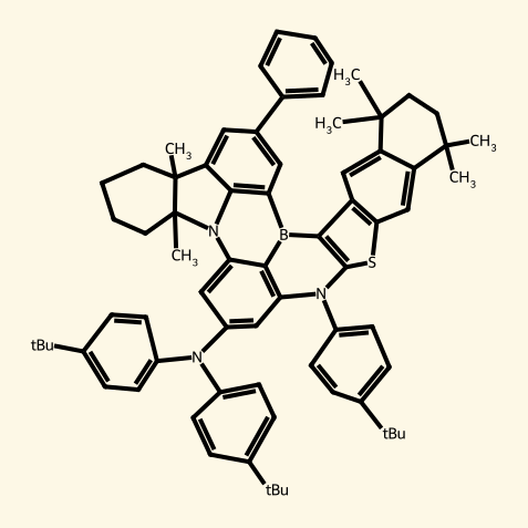 CC(C)(C)c1ccc(N(c2ccc(C(C)(C)C)cc2)c2cc3c4c(c2)N2c5c(cc(-c6ccccc6)cc5C5(C)CCCCC25C)B4c2c(sc4cc5c(cc24)C(C)(C)CCC5(C)C)N3c2ccc(C(C)(C)C)cc2)cc1